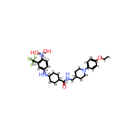 CCOc1ccc(N2CCC(CNC(=O)C3CCC(Nc4ccc(N(O)O)c(C(F)(F)F)c4)CC3)CC2)cc1